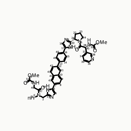 CCCN(Cc1ncc(-c2ccc3cc(-c4ccc(-c5cnc([C@@H]6CCCN6C(=O)[C@H](NC(=O)OC)c6cccnc6)[nH]5)cc4)ccc3c2)[nH]1)C(=O)CNC(=O)OC